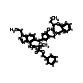 CC[C@@H]1CN(Cc2cc([C@@H](c3ccc4c(nnn4CC)c3C)C(C)(C)C(=O)OCc3ccccc3)sc2C)Cc2ncccc2O1